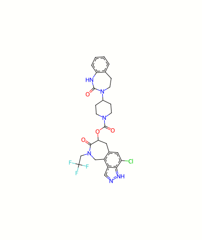 O=C(OC1Cc2cc(Cl)c3[nH]ncc3c2CN(CC(F)(F)F)C1=O)N1CCC(N2CCc3ccccc3NC2=O)CC1